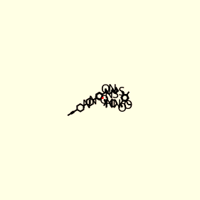 CC#CC1CCC(N2CCN(c3ccc(C(=O)Nc4ncc(Sc5cc(C(=O)N6CCN(C(C)=O)CC6)c(OC)cc5C)s4)cc3)CC2)CC1